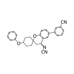 N#C/N=C1\CC2(CCC(Oc3ccccc3)CC2)Oc2ccc(-c3cccc(C#N)c3)cc21